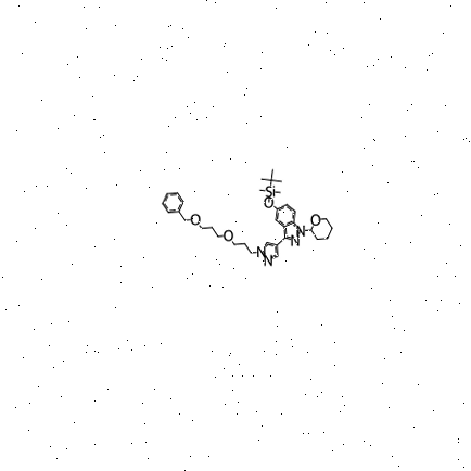 CC(C)(C)[Si](C)(C)Oc1ccc2c(c1)c(-c1cnn(CCCOCCCOCc3ccccc3)c1)nn2C1CCCCO1